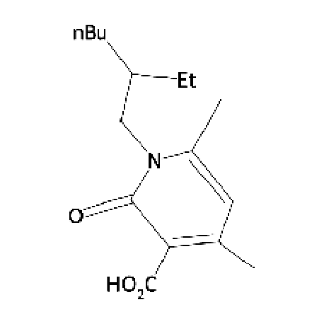 CCCCC(CC)Cn1c(C)cc(C)c(C(=O)O)c1=O